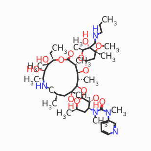 CCCNC[C@]1(O)[C@H](C)O[C@@H](O[C@H]2[C@H](C)[C@@H](O[C@@H]3O[C@H](C)C[C@H](N(C)C(=O)N(C)c4cccnc4)[C@H]3O)[C@](C)(O)C[C@@H](C)CN[C@H](C)[C@@H](O)[C@](C)(O)[C@@H](CC)OC(=O)[C@@H]2C)C[C@@]1(C)OC